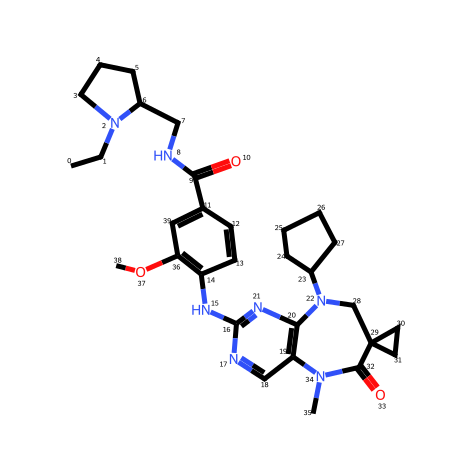 CCN1CCCC1CNC(=O)c1ccc(Nc2ncc3c(n2)N(C2CCCC2)CC2(CC2)C(=O)N3C)c(OC)c1